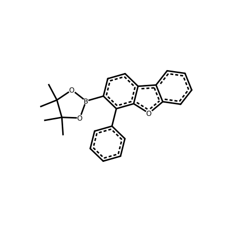 CC1(C)OB(c2ccc3c(oc4ccccc43)c2-c2ccccc2)OC1(C)C